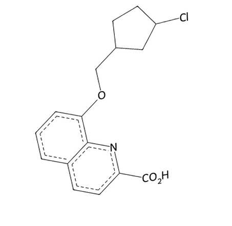 O=C(O)c1ccc2cccc(OCC3CCC(Cl)C3)c2n1